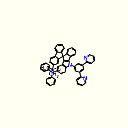 CC(C)(C)c1ccc2c(c1)C1(c3ccccc3-2)c2ccccc2-c2c1c1c(n2-c2cc(-c3ccccn3)cc(-c3ccccn3)c2)CCC(N(c2ccccc2)c2ccccc2)=C1